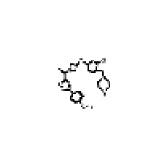 COc1ccc(-c2nnc(C(=O)N3CC(Oc4ccc(CN5CCN(C)CC5)c(Cl)c4)C3)o2)cc1